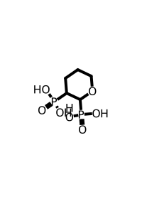 O=P(O)(O)C1CCCOC1P(=O)(O)O